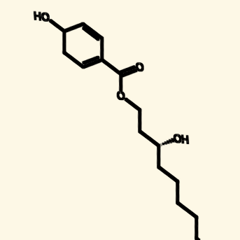 CC(C)CCCCC[C@@H](O)CCOC(=O)C1=CCC(O)C=C1